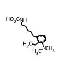 C=Cc1c(CCCCCNC(=O)O)cccc1N(C)C